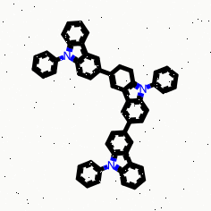 C1=C(c2ccc3c(c2)c2ccccc2n3-c2ccccc2)CCc2c1c1cc(-c3ccc4c(c3)c3ccccc3n4-c3ccccc3)ccc1n2-c1ccccc1